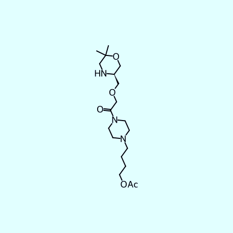 CC(=O)OCCCCN1CCN(C(=O)COC[C@@H]2COC(C)(C)CN2)CC1